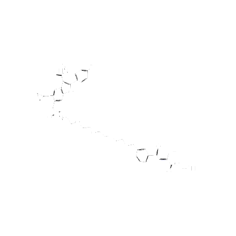 CCOC(=O)/C(O)=C/C(=O)c1cccc(COCCOCCOCCOCCNS(=O)(=O)Cc2cc3oc(-c4ccc(F)cc4)c(C(=O)NC)c3cc2C2CC2)c1